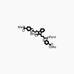 CCCCCN1/C(=C/C=C2C(Cl)=C(/C=C/c3sc4ccc(C(=O)OC)cc4[n+]3CCCCC)c3ccccc3/2)Sc2ccc(C(=O)OC)cc21